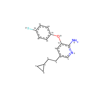 Nc1ncc(CCC2CC2)cc1Oc1ccc(F)cc1